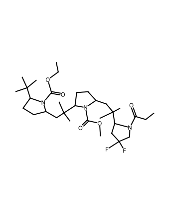 CCOC(=O)N1C(CC(C)(C)C2CCC(CC(C)(C)C3CC(F)(F)CN3C(=O)CC)N2C(=O)OC)CCC1C(C)(C)C